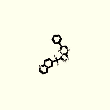 FC(F)(c1ccc2ncccc2c1)c1nnc2ncc(-c3ccccc3)nn12